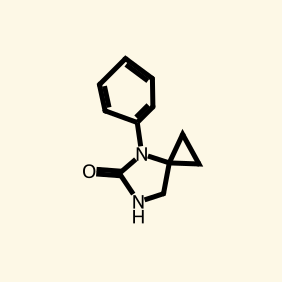 O=C1NCC2(CC2)N1c1ccccc1